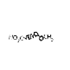 Cc1cccc(-c2cccc(N3CCN(CCC(=O)O)CC3)c2)c1